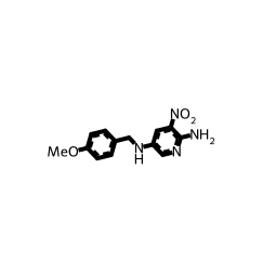 COc1ccc(CNc2cnc(N)c([N+](=O)[O-])c2)cc1